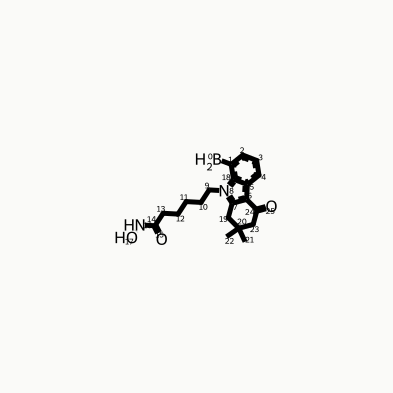 Bc1cccc2c3c(n(CCCCCC(=O)NO)c12)CC(C)(C)CC3=O